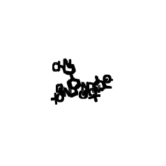 COc1c(C)cnc(CN(C(=O)OC(C)(C)C)c2cc(-c3ccnc(Cl)c3)cc3c2ccn3C(=O)OC(C)(C)C)c1C